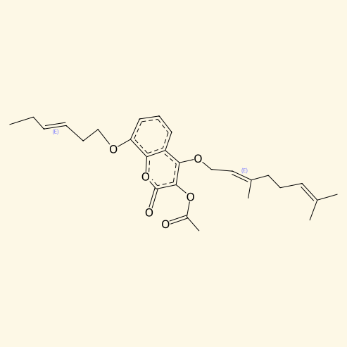 CC/C=C/CCOc1cccc2c(OC/C=C(\C)CCC=C(C)C)c(OC(C)=O)c(=O)oc12